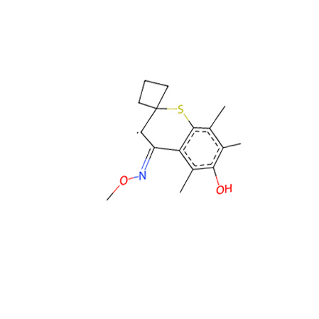 CON=C1[CH]C2(CCC2)Sc2c(C)c(C)c(O)c(C)c21